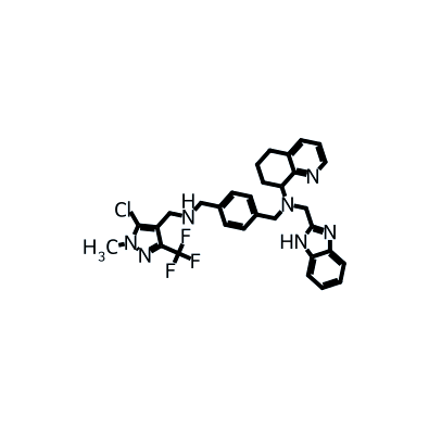 Cn1nc(C(F)(F)F)c(CNCc2ccc(CN(Cc3nc4ccccc4[nH]3)C3CCCc4cccnc43)cc2)c1Cl